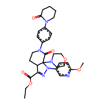 CCOC(=O)C1=NN(c2ccc(OC)nc2)C2(N3CCOCC3)C(=O)N(c3ccc(N4CCCCC4=O)cc3)CCC12